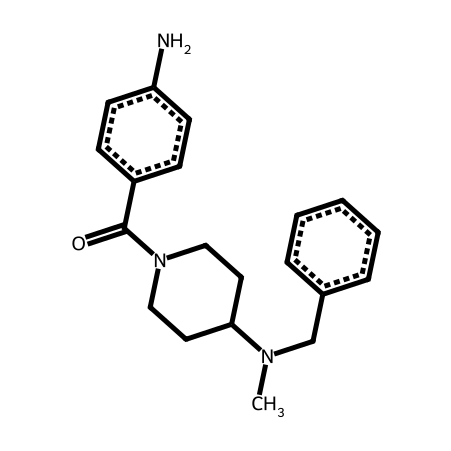 CN(Cc1ccccc1)C1CCN(C(=O)c2ccc(N)cc2)CC1